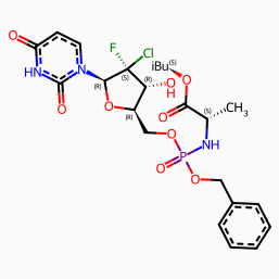 CC[C@H](C)OC(=O)[C@H](C)NP(=O)(OCc1ccccc1)OC[C@H]1O[C@@H](n2ccc(=O)[nH]c2=O)[C@@](F)(Cl)[C@@H]1O